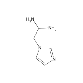 NC(N)Cn1ccnc1